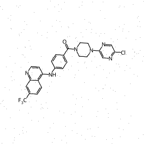 O=C(c1ccc(Nc2ccnc3cc(C(F)(F)F)ccc23)cc1)N1CCN(c2cnc(Cl)cn2)CC1